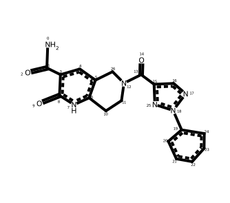 NC(=O)c1cc2c([nH]c1=O)CCN(C(=O)c1cnn(-c3ccccc3)n1)C2